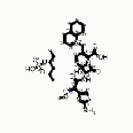 CCCCCC.CO/N=C(/C(=O)N[C@@H]1C(=O)N2C(C(=O)O)=C(C[n+]3cccc4c3CCCC4)CS[C@H]12)c1csc(N)n1.O=S(=O)(O)O